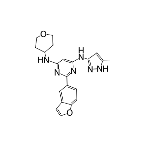 Cc1cc(Nc2cc(NC3CCOCC3)nc(-c3ccc4occc4c3)n2)n[nH]1